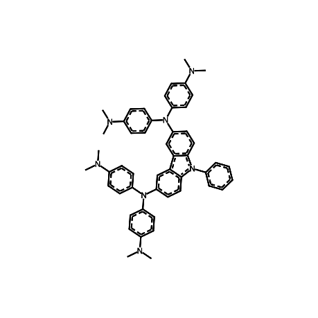 CN(C)c1ccc(N(c2ccc(N(C)C)cc2)c2ccc3c(c2)c2cc(N(c4ccc(N(C)C)cc4)c4ccc(N(C)C)cc4)ccc2n3-c2ccccc2)cc1